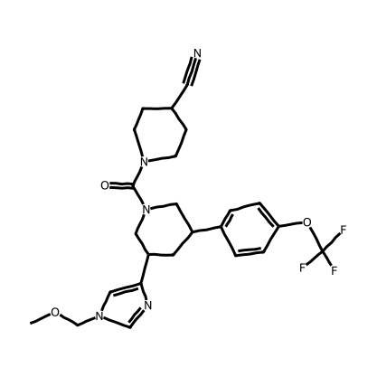 COCn1cnc(C2CC(c3ccc(OC(F)(F)F)cc3)CN(C(=O)N3CCC(C#N)CC3)C2)c1